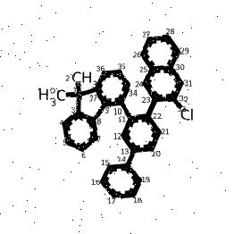 CC1(C)c2ccccc2-c2c(-c3cc(-c4ccccc4)ccc3-c3cc4ccccc4cc3Cl)cccc21